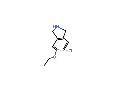 CCOc1ccc2c(c1)CNC2.Cl